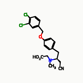 CN(CC(=O)O)[C@H](CC#N)Cc1ccc(OCc2ccc(Cl)c(Cl)c2)cc1